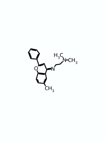 Cc1ccc2oc(-c3ccccc3)c/c(=N\CCN(C)C)c2c1